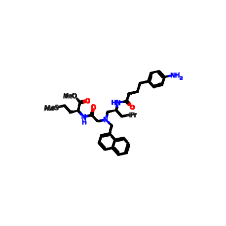 COC(=O)[C@H](CCSC)NC(=O)CN(Cc1cccc2ccccc12)C[C@H](CC(C)C)NC(=O)CCCc1ccc(N)cc1